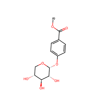 O=C([O][Al])c1ccc(O[C@H]2OC[C@@H](O)[C@H](O)[C@H]2O)cc1